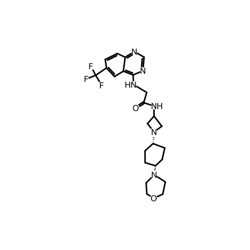 O=C(CNc1ncnc2ccc(C(F)(F)F)cc12)NC1CN([C@H]2CC[C@@H](N3CCOCC3)CC2)C1